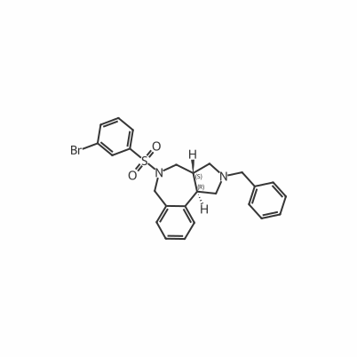 O=S(=O)(c1cccc(Br)c1)N1Cc2ccccc2[C@@H]2CN(Cc3ccccc3)C[C@H]2C1